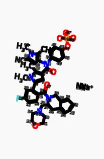 Cc1c(N(C(=O)c2cc(-c3cc(F)ccc3C(=O)N3Cc4ccccc4C[C@H]3CN3CCOCC3)n(C)c2C)c2ccc(OP(=O)([O-])[O-])cc2)cc(C#N)n1C.[Na+].[Na+]